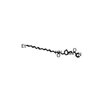 CCC=CCC=CCC=CCC=CCC=CCCCC(=O)NCC1CCC(CNC(=O)c2cccnc2)CC1